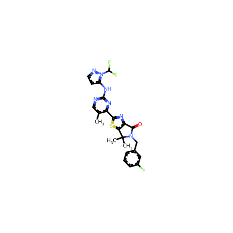 Cc1cnc(Nc2ccnn2C(F)F)nc1-c1nc2c(s1)C(C)(C)N(Cc1cccc(F)c1)C2=O